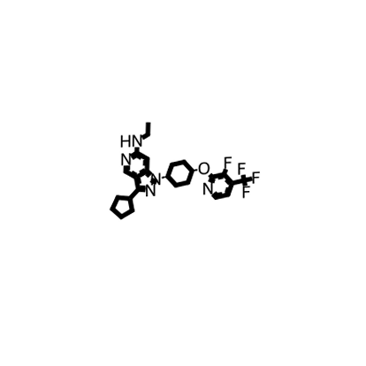 CCNc1cc2c(cn1)c(C1CCCC1)nn2[C@H]1CC[C@@H](Oc2nccc(C(F)(F)F)c2F)CC1